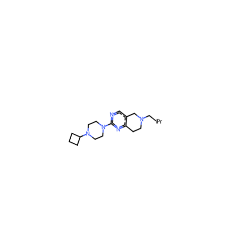 CC(C)CN1CCc2nc(N3CCN(C4CCC4)CC3)ncc2C1